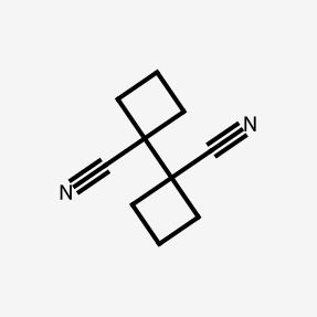 N#CC1(C2(C#N)CCC2)CCC1